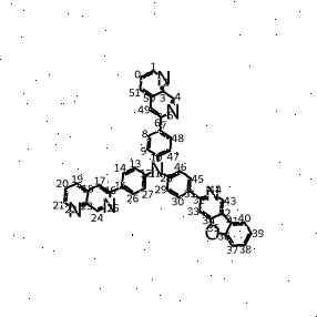 c1cnc2cnc(-c3ccc(N(c4ccc(-c5cc6cccnc6cn5)cc4)c4ccc(-c5cc6oc7ccccc7c6cn5)cc4)cc3)cc2c1